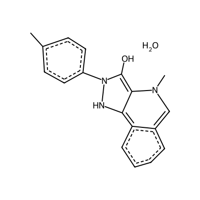 Cc1ccc(N2NC3=c4ccccc4=CN(C)C3=C2O)cc1.O